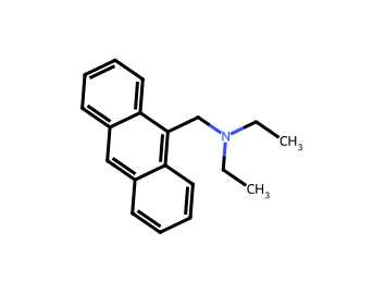 CCN(CC)Cc1c2ccccc2cc2ccccc12